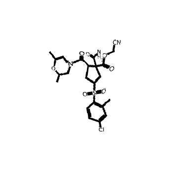 Cc1cc(Cl)ccc1S(=O)(=O)C1CC(C(=O)N2CC(C)OC(C)C2)C(C(N)=O)(C(=O)OCC#N)C1